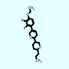 CCCC1CCC(C2CC=C(c3ccc(OCC)c(F)c3F)CO2)CO1